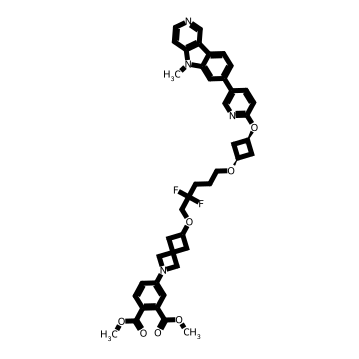 COC(=O)c1ccc(N2CC3(CC(OCC(F)(F)CCCO[C@H]4C[C@H](Oc5ccc(-c6ccc7c8cnccc8n(C)c7c6)cn5)C4)C3)C2)cc1C(=O)OC